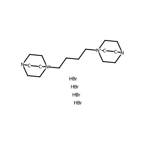 Br.Br.Br.Br.C(CC[N+]12CCN(CC1)CC2)C[N+]12CCN(CC1)CC2